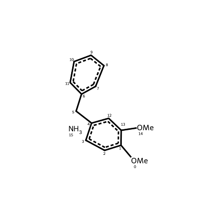 COc1ccc(Cc2ccccc2)cc1OC.N